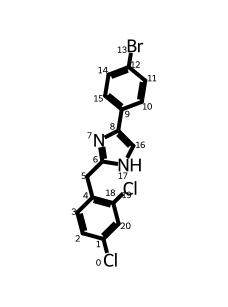 Clc1ccc(Cc2nc(-c3ccc(Br)cc3)c[nH]2)c(Cl)c1